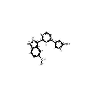 CCc1cc(-c2ccnc(-c3n[nH]c4ccc(OC(C)C)cc34)n2)cs1